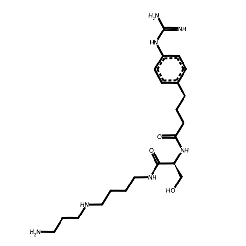 N=C(N)Nc1ccc(CCCC(=O)N[C@@H](CO)C(=O)NCCCCNCCCN)cc1